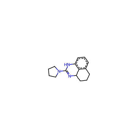 c1cc2c3c(c1)NC(N1CCCC1)=NC3CCC2